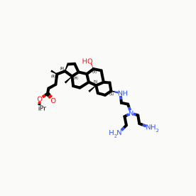 CC(C)OC(=O)CC[C@@H](C)[C@H]1CCC2C3C(CC[C@@]21C)[C@@]1(C)CC[C@H](NCCN(CCN)CCN)CC1C[C@H]3O